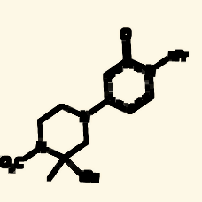 CCCn1ccc(N2CCN(C(=O)O)C(C)(C(C)(C)C)C2)cc1=O